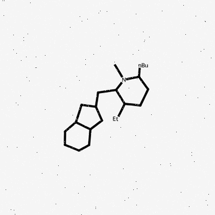 CCCCC1CCC(CC)C(CC2CC3CCCCC3C2)N1C